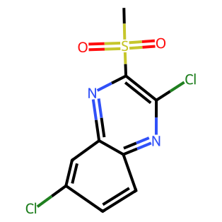 CS(=O)(=O)c1nc2cc(Cl)ccc2nc1Cl